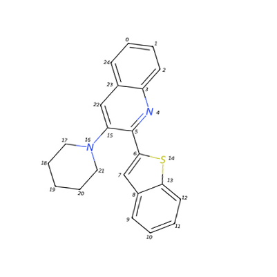 c1ccc2nc(-c3cc4ccccc4s3)c(N3CCCCC3)cc2c1